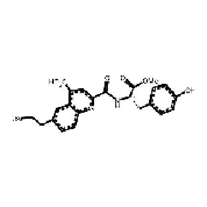 COC(=O)[C@H](Cc1ccc(O)cc1)NC(=O)c1cc(C(=O)O)c2cc(CCC(C)(C)C)ccc2n1